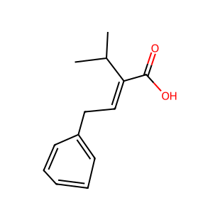 CC(C)/C(=C\Cc1ccccc1)C(=O)O